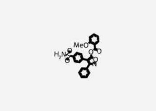 COc1ccccc1C(=O)Oc1onc(-c2ccccc2)c1-c1ccc(S(N)(=O)=O)cc1